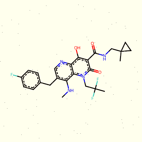 CNc1c(Cc2ccc(F)cc2)cnc2c(O)c(C(=O)NCC3(C)CC3)c(=O)n(CC(C)(F)F)c12